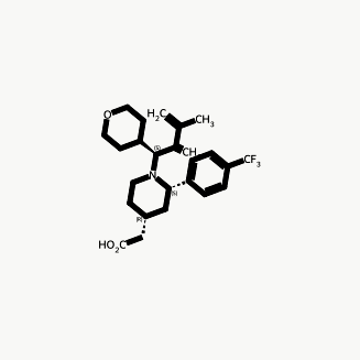 C=C(C)C(=C)[C@H](C1CCOCC1)N1CC[C@@H](CC(=O)O)C[C@H]1c1ccc(C(F)(F)F)cc1